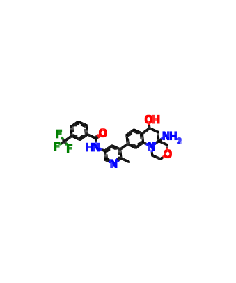 Cc1ncc(NC(=O)c2cccc(C(F)(F)F)c2)cc1-c1ccc2c(c1)N1CCOCC1(N)CC2O